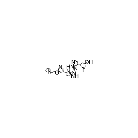 Oc1cc(F)cc(-c2ccnc3[nH]c(-c4n[nH]c5ccc(-c6cncc(OCCN7CCCC7)c6)nc45)nc23)c1